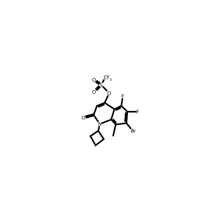 Cc1c(Br)c(F)c(F)c2c(OS(=O)(=O)C(F)(F)F)cc(=O)n(C3CCC3)c12